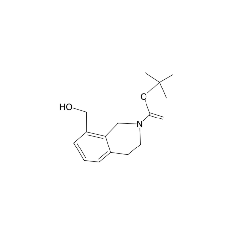 C=C(OC(C)(C)C)N1CCc2cccc(CO)c2C1